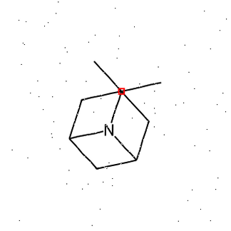 CC(C)N1C2CCCC1C2